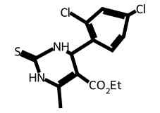 CCOC(=O)C1=C(C)NC(=S)NC1c1ccc(Cl)cc1Cl